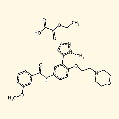 CCOC(=O)C(=O)O.COc1cccc(C(=O)Nc2ccc(OCCN3CCOCC3)c(-c3ccnn3C)c2)c1